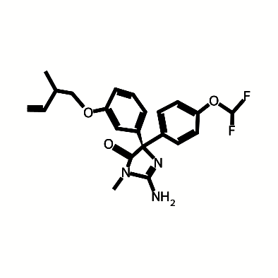 C=CC(C)COc1cccc([C@@]2(c3ccc(OC(F)F)cc3)N=C(N)N(C)C2=O)c1